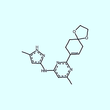 Cc1cc(Nc2cc(C)[nH]n2)nc(C2=CCC3(CC2)OCCO3)n1